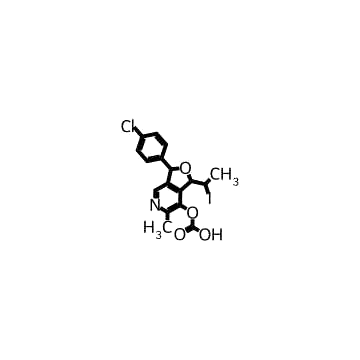 Cc1ncc2c(c1OC(=O)O)C(C(C)I)OC2c1ccc(Cl)cc1